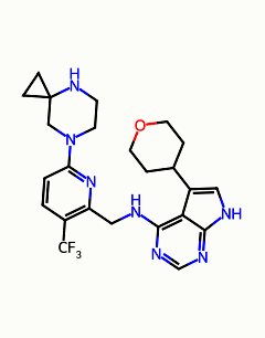 FC(F)(F)c1ccc(N2CCNC3(CC3)C2)nc1CNc1ncnc2[nH]cc(C3CCOCC3)c12